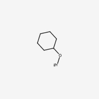 CC(C)O[C]1CCCCC1